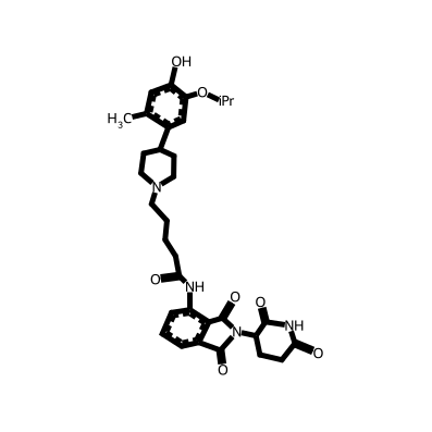 Cc1cc(O)c(OC(C)C)cc1C1CCN(CCCCC(=O)Nc2cccc3c2C(=O)N(C2CCC(=O)NC2=O)C3=O)CC1